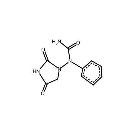 NC(=O)N(c1ccccc1)N1CC(=O)NC1=O